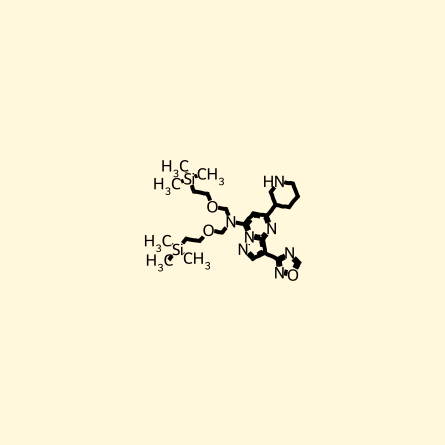 C[Si](C)(C)CCOCN(COCC[Si](C)(C)C)c1cc(C2CCCNC2)nc2c(-c3ncon3)cnn12